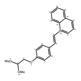 COC(COc1ccc(C=C[n+]2cccc3ccccc32)cc1)OC